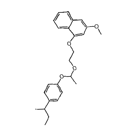 CCC(C)c1ccc(OC(C)OCCOc2cc(OC)cc3ccccc23)cc1